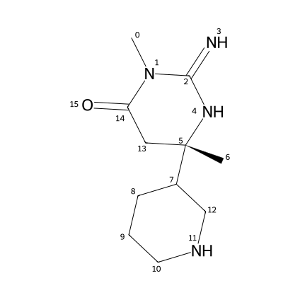 CN1C(=N)N[C@](C)(C2CCCNC2)CC1=O